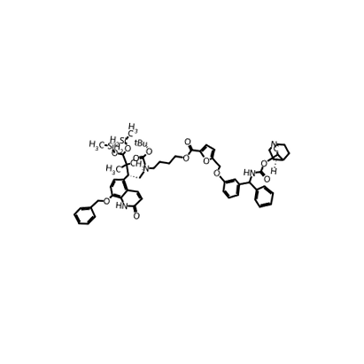 C[SiH2]OC(O[SiH2]C)C(C)(C)[C@H](CN(CCCCOC(=O)c1ccc(COc2cccc(C(NC(=O)O[C@H]3CN4CCC3CC4)c3ccccc3)c2)o1)C(=O)OC(C)(C)C)c1ccc(OCc2ccccc2)c2[nH]c(=O)ccc12